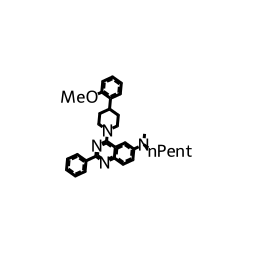 CCCCCN(C)c1ccc2nc(-c3ccccc3)nc(N3CCC(c4ccccc4OC)CC3)c2c1